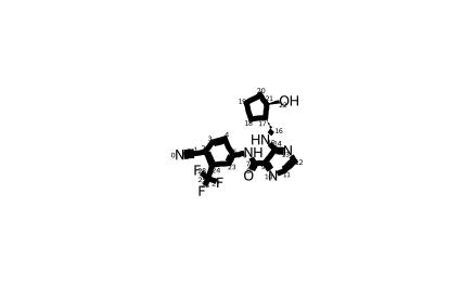 N#Cc1ccc(NC(=O)c2nccnc2NC[C@@H]2CCC[C@H]2O)cc1C(F)(F)F